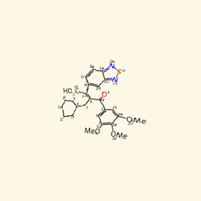 COc1cc(C(=O)C(CC2CCCCC2)=C(C(=O)O)c2ccc3nsnc3c2)cc(OC)c1OC